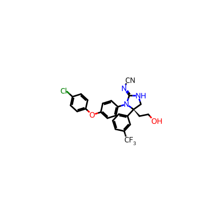 N#CN=C1NC[C@](CCO)(c2cccc(C(F)(F)F)c2)N1c1ccc(Oc2ccc(Cl)cc2)cc1